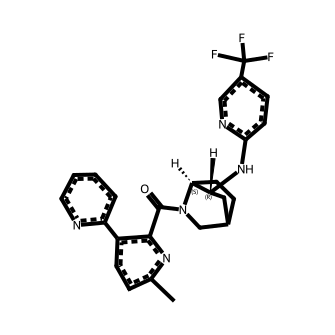 Cc1ccc(-c2ccccn2)c(C(=O)N2CC3CC[C@H]2[C@H](Nc2ccc(C(F)(F)F)cn2)C3)n1